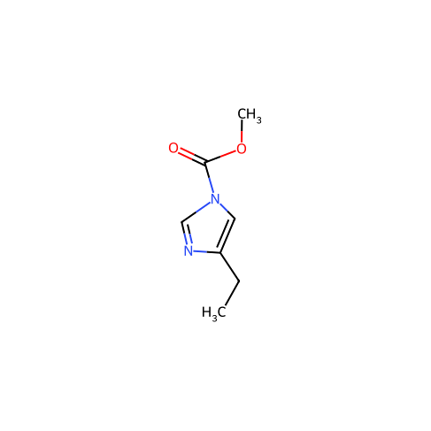 CCc1cn(C(=O)OC)cn1